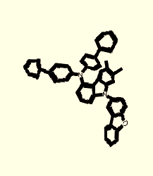 Cc1cc2c3c(N(c4ccc(-c5ccccc5)cc4)c4ccc(-c5ccccc5)cc4)cccc3n(-c3ccc4oc5ccccc5c4c3)c2cc1C